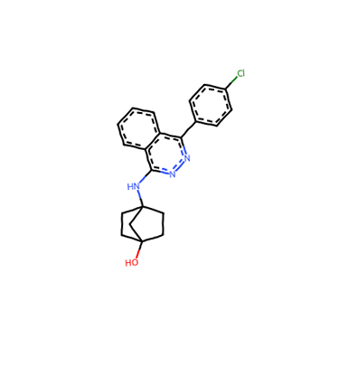 OC12CCC(Nc3nnc(-c4ccc(Cl)cc4)c4ccccc34)(CC1)C2